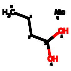 CCCC(O)O.[Mo]